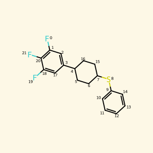 Fc1cc(C2CCC(Sc3ccccc3)CC2)cc(F)c1F